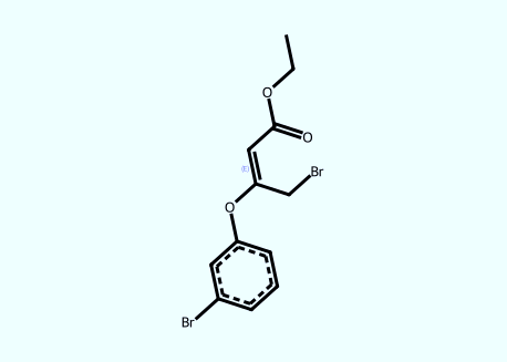 CCOC(=O)/C=C(\CBr)Oc1cccc(Br)c1